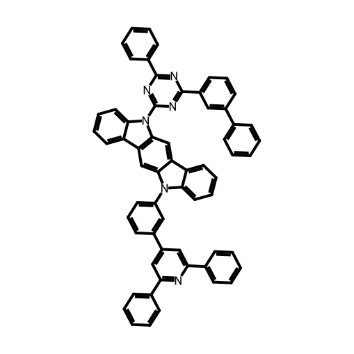 c1ccc(-c2cccc(-c3nc(-c4ccccc4)nc(-n4c5ccccc5c5cc6c(cc54)c4ccccc4n6-c4cccc(-c5cc(-c6ccccc6)nc(-c6ccccc6)c5)c4)n3)c2)cc1